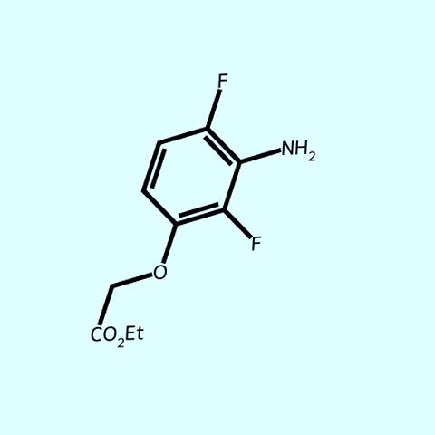 CCOC(=O)COc1ccc(F)c(N)c1F